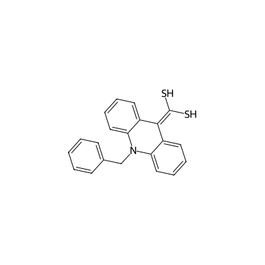 SC(S)=C1c2ccccc2N(Cc2ccccc2)c2ccccc21